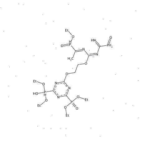 CCO[PH](=O)/C(C)=N/C(=N\C(=N)[PH2]=O)OCCOc1nc(P(=O)(OCC)OCC)nc([PH](O)(OCC)OCC)n1